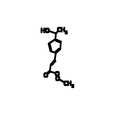 COOC(=O)C=Cc1ccc(C(C)O)cc1